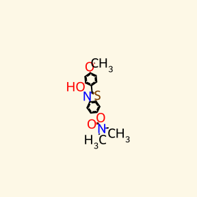 CCN(CC)C(=O)Oc1ccc2nc(-c3ccc(OC)cc3O)sc2c1